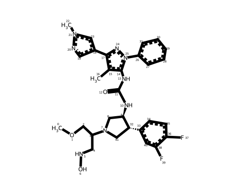 COCC(CNO)N1C[C@@H](NC(=O)Nc2c(C)c(-c3cnn(C)c3)nn2-c2ccccc2)[C@H](c2ccc(F)c(F)c2)C1